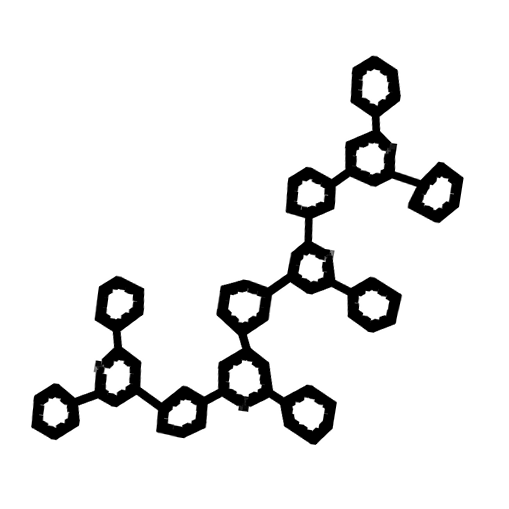 c1ccc(-c2cc(-c3cccc(-c4cc(-c5cccc(-c6cc(-c7ccccc7)nc(-c7cccc(-c8cc(-c9ccccc9)nc(-c9ccccc9)c8)c7)c6)c5)cc(-c5ccccc5)n4)c3)cc(-c3ccccc3)n2)cc1